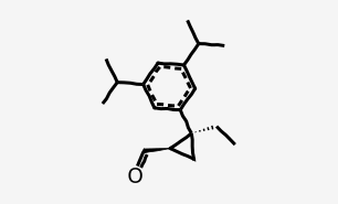 CC[C@]1(c2cc(C(C)C)cc(C(C)C)c2)C[C@H]1C=O